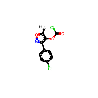 Cc1onc(-c2ccc(Cl)cc2)c1OC(=O)Cl